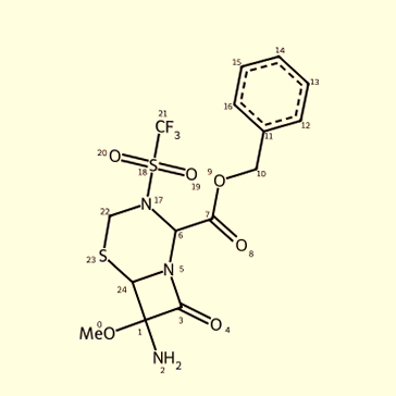 COC1(N)C(=O)N2C(C(=O)OCc3ccccc3)N(S(=O)(=O)C(F)(F)F)CSC21